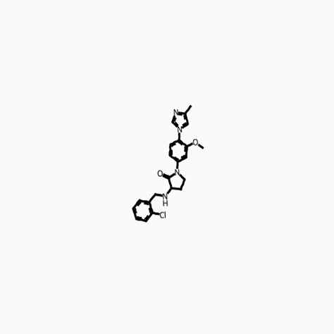 COc1cc(N2CCC(NCc3ccccc3Cl)C2=O)ccc1-n1cnc(C)c1